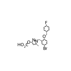 Cc1cc(OC(=O)O)nn1Cc1cc(Br)ccc1OCc1ccc(F)cc1